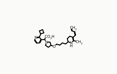 C=C/C=C\C1=C(C)NC(CCCCOC2CCN(C(C(=O)O)c3cccnc3C3CCC3)C2)CC1